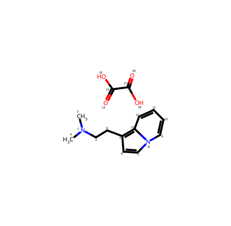 CN(C)CCc1ccn2ccccc12.O=C(O)C(=O)O